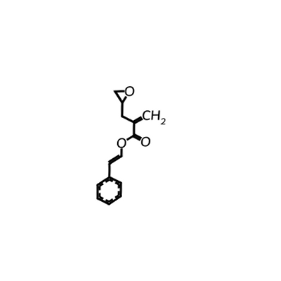 C=C(CC1CO1)C(=O)OC=Cc1ccccc1